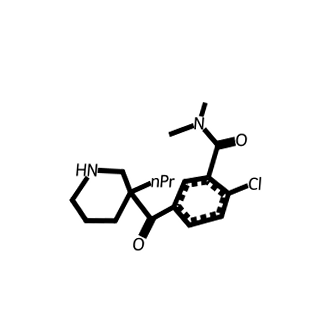 CCCC1(C(=O)c2ccc(Cl)c(C(=O)N(C)C)c2)CCCNC1